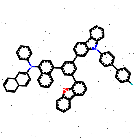 Fc1ccc(-c2ccc(-n3c4ccccc4c4ccc(-c5cc(-c6ccc(N(C7=CC8C=CC=CC8C=C7)c7ccccc7)c7ccccc67)cc(-c6cccc7c6oc6ccccc67)c5)cc43)cc2)cc1